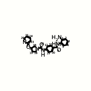 Nc1ccccc1NC(=O)c1ccc(NC(=O)N2CCC(Oc3ccccn3)C2)cc1